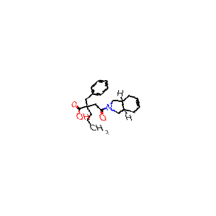 CCCC(CC(=O)N1C[C@H]2CC=CC[C@H]2C1)(Cc1ccccc1)C(=O)O